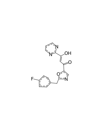 O=C(C=C(O)c1ncccn1)c1cnc(Cc2ccc(F)cc2)o1